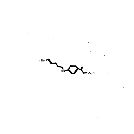 CCCCCCCCCC=CCCCNc1ccc(C(=O)CC(=O)O)cc1